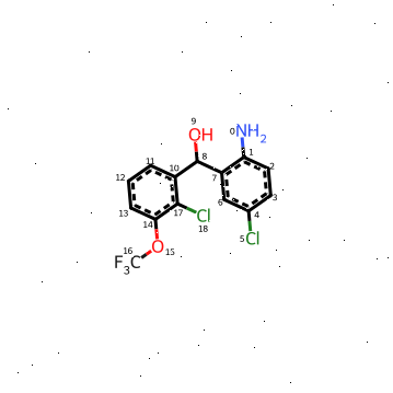 Nc1ccc(Cl)cc1C(O)c1cccc(OC(F)(F)F)c1Cl